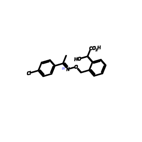 C/C(=N\OCc1ccccc1C(O)C(=O)O)c1ccc(Cl)cc1